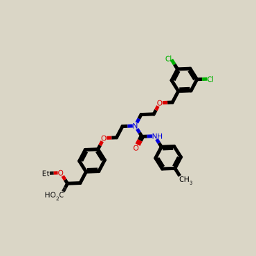 CCOC(Cc1ccc(OCCN(CCOCc2cc(Cl)cc(Cl)c2)C(=O)Nc2ccc(C)cc2)cc1)C(=O)O